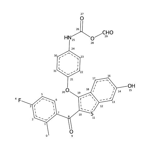 Cc1cc(F)ccc1C(=O)c1sc2cc(O)ccc2c1Oc1ccc(NC(=O)OC=O)cc1